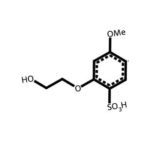 COc1[c]cc(S(=O)(=O)O)c(OCCO)c1